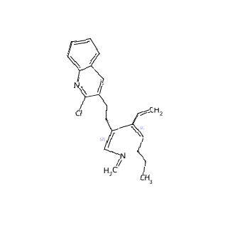 C=CC(=C/CCC)/C(=C\N=C)CCc1cc2ccccc2nc1Cl